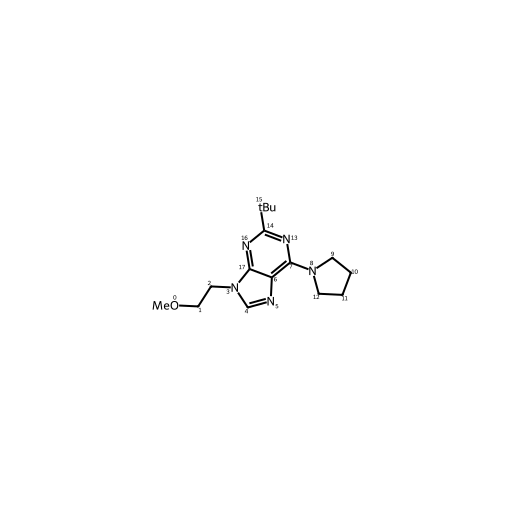 COCCn1cnc2c(N3CCCC3)nc(C(C)(C)C)nc21